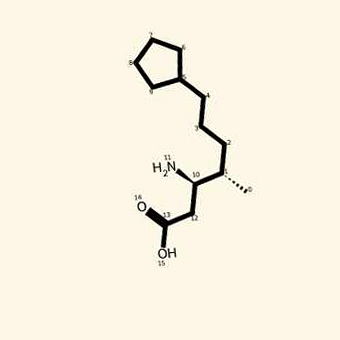 C[C@@H](CCCC1CCCC1)[C@H](N)CC(=O)O